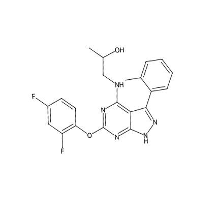 Cc1ccccc1-c1n[nH]c2nc(Oc3ccc(F)cc3F)nc(NCC(C)O)c12